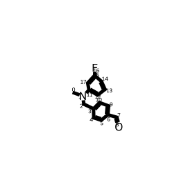 CN(Cc1ccc(C=O)cc1)c1cccc(F)c1